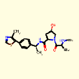 Cc1ncsc1-c1ccc([C@H](C)NC(=O)C2C[C@@H](O)CN2C(=O)C(NC(C)(C)C)C(C)(C)C)cc1